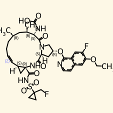 CCOc1cc2ccnc(O[C@@H]3C[C@H]4C(=O)N[C@]5(C(=O)NS(=O)(=O)C6(CF)CC6)C[C@H]5/C=C\CC[C@@H](C)C[C@@H](C)[C@H](NC(=O)O)C(=O)N4C3)c2cc1F